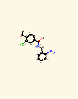 CC(=O)c1ccc(C(=O)NCc2ccccc2N)cc1Cl